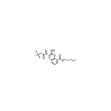 CCCCCOC(=O)c1cccc2c1OB(O)[C@@H](NC(=O)CC(C)(F)F)C2